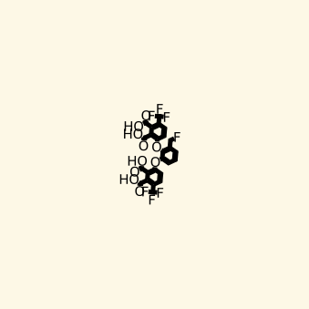 O=C(O)c1c(Oc2cccc(CF)c2Oc2ccc(C(F)(F)F)c(C(=O)O)c2C(=O)O)ccc(C(F)(F)F)c1C(=O)O